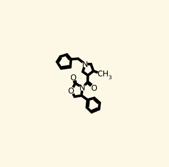 CC1CN(Cc2ccccc2)CC1C(=O)N1C(=O)OCC1c1ccccc1